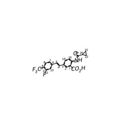 O=C(O)c1cc(/C=C/c2ccc(C(F)(F)F)c(F)c2)ccc1NC(=O)C1CC1